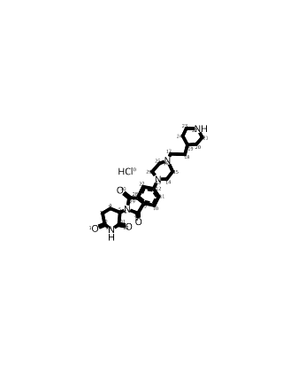 Cl.O=C1CCC(N2C(=O)c3ccc(N4CCN(CCC5CCNCC5)CC4)cc3C2=O)C(=O)N1